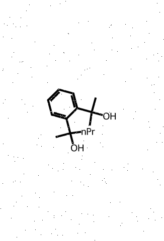 CCCC(C)(O)c1ccccc1C(C)(C)O